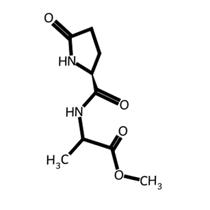 COC(=O)C(C)NC(=O)[C@@H]1CCC(=O)N1